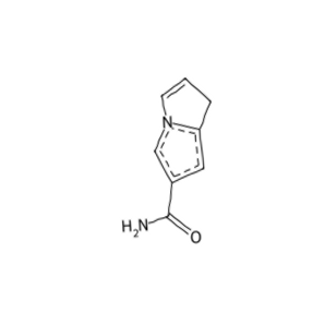 NC(=O)c1cc2n(c1)C=CC2